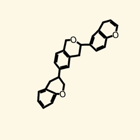 C1=COc2ccc(C3Cc4cc(C5COc6ccccc6C5)ccc4CO3)cc2C1